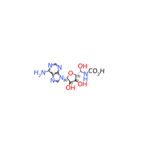 Nc1ncnc2c1ncn2[C@@H]1O[C@H](C(O)NC(=O)O)[C@@H](O)[C@H]1O